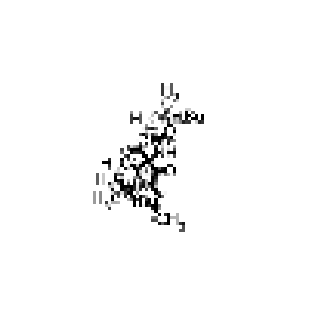 C=CCC(N)C(=O)C(NC(=O)O[Si](C)(C)C(C)(C)C)(C(=O)OC)C(C)O[Si](C)(C)C(C)(C)C